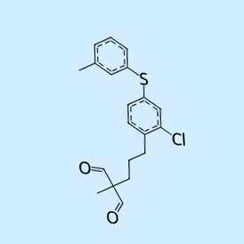 Cc1cccc(Sc2ccc(CCCC(C)(C=O)C=O)c(Cl)c2)c1